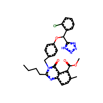 CCCCc1nc2ccc(C)c(C(=O)OC)c2c(=O)n1Cc1ccc(OC(c2nnn[nH]2)c2ccccc2Cl)cc1